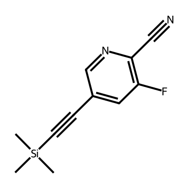 C[Si](C)(C)C#Cc1cnc(C#N)c(F)c1